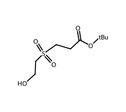 CC(C)(C)OC(=O)CCS(=O)(=O)CCO